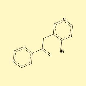 C=C(Cc1cnccc1C(C)C)c1ccccc1